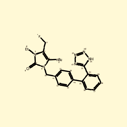 CCCCc1c(CF)n(CC)c(=O)n1Cc1ccc(-c2ccccc2-c2nnn[nH]2)cc1